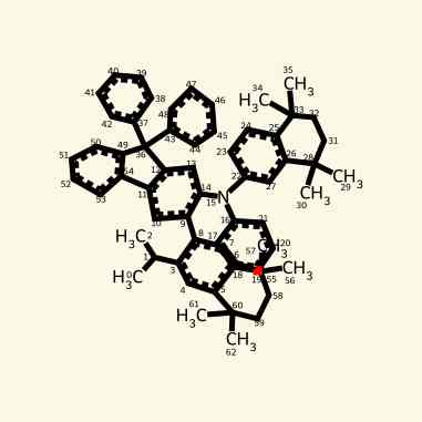 CC(C)c1cc2c(cc1-c1cc3c(cc1N(c1ccccc1)c1ccc4c(c1)C(C)(C)CCC4(C)C)C(c1ccccc1)(c1ccccc1)c1ccccc1-3)C(C)(C)CCC2(C)C